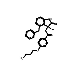 CCCCOc1ccc(C(=O)CC2(O)C(=O)Nc3cccc(Cc4ccccc4)c32)cc1